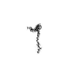 CCCCCCCCCCCCOCCC(NC(=O)CCC(=O)O)C(=O)OC(C)(C)C